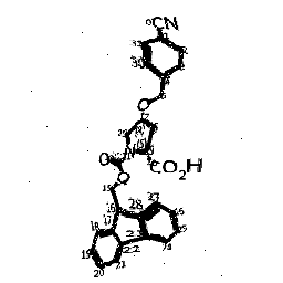 N#CC1=CCC(CO[C@@H]2C[C@@H](C(=O)O)N(C(=O)OCC3c4ccccc4-c4ccccc43)C2)C=C1